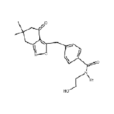 CCN(CCO)C(=O)c1ccc(Cc2onc3c2C(=O)CC(C)(C)C3)cc1